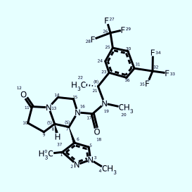 Cc1nn(C)cc1[C@H]1[C@@H]2CCC(=O)N2CCN1C(=O)N(C)[C@H](C)c1cc(C(F)(F)F)cc(C(F)(F)F)c1